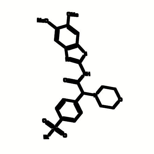 CCS(=O)(=O)c1ccc(C(C(=O)Nc2nc3cc(OC)c(OC)cc3s2)N2CCOCC2)cc1